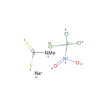 CNC(=S)[S-].O=[N+]([O-])C(Cl)(Cl)Cl.[Na+]